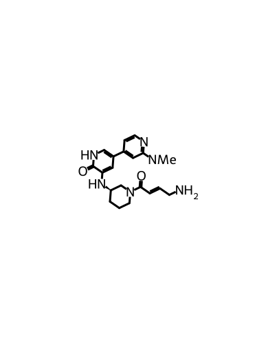 CNc1cc(-c2c[nH]c(=O)c(N[C@@H]3CCCN(C(=O)C=CCN)C3)c2)ccn1